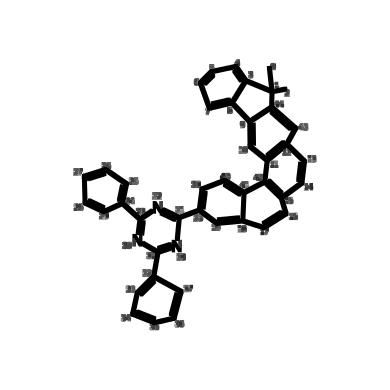 CC1(C)c2ccccc2-c2cc3c(ccc4ccc5cc(-c6nc(-c7ccccc7)nc(-c7ccccc7)n6)ccc5c43)cc21